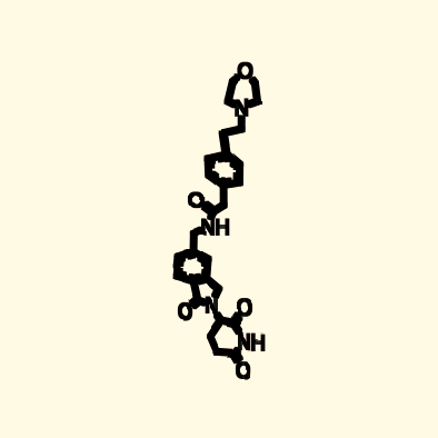 O=C(Cc1ccc(CCN2CCOCC2)cc1)NCc1ccc2c(c1)CN(C1CCC(=O)NC1=O)C2=O